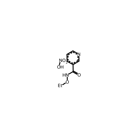 CCONC(=O)c1cccnc1.O=[N+]([O-])O